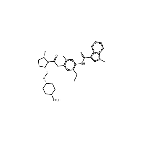 C[C@H]1CC[C@@H](CO[C@H]2CC[C@H](C(=O)O)CC2)N1C(=O)Cc1cc(CI)c(NC(=O)c2cn(C)c3ccccc23)cc1F